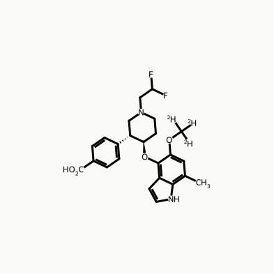 [2H]C([2H])([2H])Oc1cc(C)c2[nH]ccc2c1O[C@@H]1CCN(CC(F)F)C[C@H]1c1ccc(C(=O)O)cc1